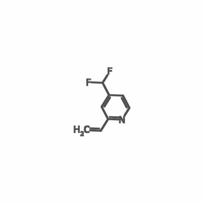 C=Cc1cc(C(F)F)ccn1